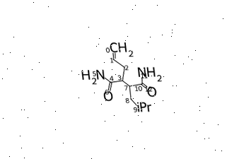 C=CCC(C(N)=O)C(CC(C)C)C(N)=O